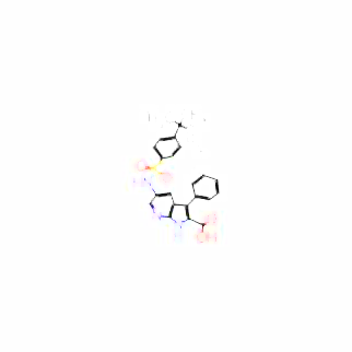 CC(C)(C)c1ccc(S(=O)(=O)Nc2cnc3[nH]c(C(=O)O)c(-c4ccccc4)c3c2)cc1